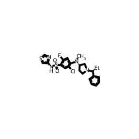 CC[C@@H](c1ccccc1)N1CC[C@H](N(C)c2cc(F)c(S(=O)(=O)Nc3cscn3)cc2Cl)C1